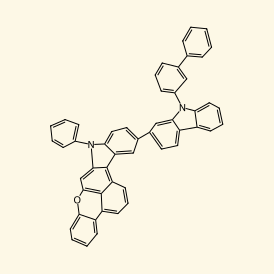 c1ccc(-c2cccc(-n3c4ccccc4c4ccc(-c5ccc6c(c5)c5c7cccc8c7c(cc5n6-c5ccccc5)Oc5ccccc5-8)cc43)c2)cc1